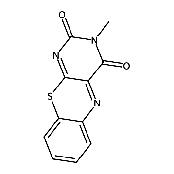 Cn1c(=O)nc2sc3ccccc3nc-2c1=O